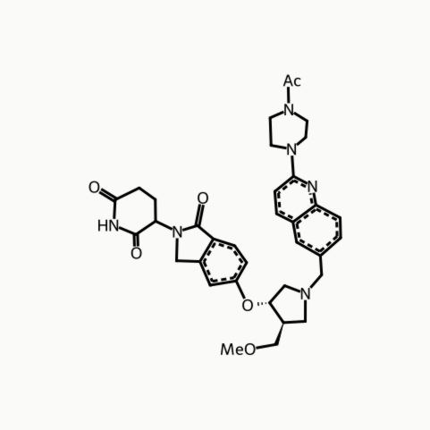 COC[C@@H]1CN(Cc2ccc3nc(N4CCN(C(C)=O)CC4)ccc3c2)C[C@H]1Oc1ccc2c(c1)CN(C1CCC(=O)NC1=O)C2=O